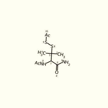 CC(=O)NC(C(N)=O)C(C)(C)SSC(C)=O